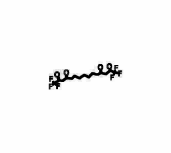 O=C(CCCCCCCC(=O)CC(=O)C(F)(F)F)CC(=O)C(F)(F)F